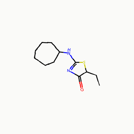 CCC1SC(NC2CCCCCC2)=NC1=O